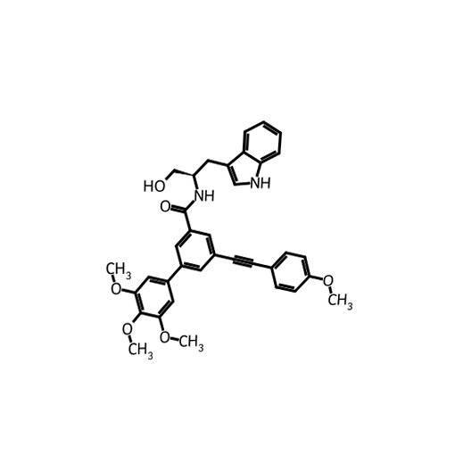 COc1ccc(C#Cc2cc(C(=O)N[C@@H](CO)Cc3c[nH]c4ccccc34)cc(-c3cc(OC)c(OC)c(OC)c3)c2)cc1